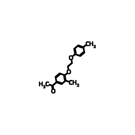 CC(=O)c1ccc(OCCOc2ccc(C)cc2)c(C)c1